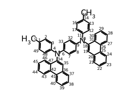 Cc1ccc(N(c2ccc(N(c3ccc(C)cc3)c3cc4ccccc4c4ccccc34)cc2)c2cc3ccccc3c3ccccc23)cc1